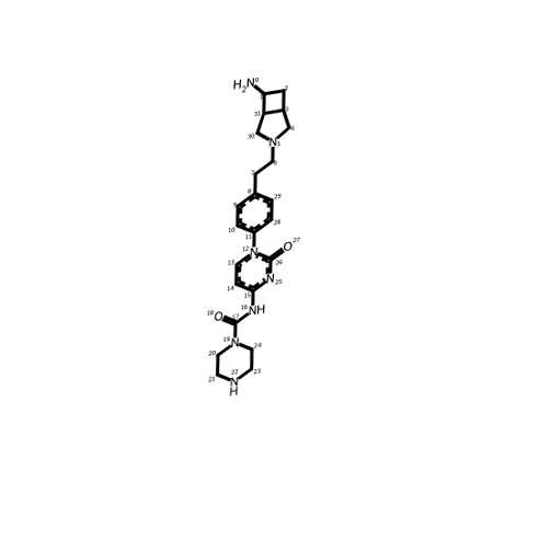 NC1CC2CN(CCc3ccc(-n4ccc(NC(=O)N5CCNCC5)nc4=O)cc3)CC12